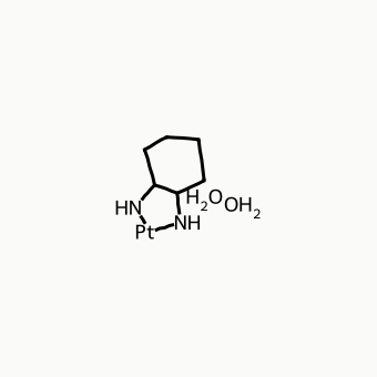 C1CCC2[NH][Pt][NH]C2C1.O.O